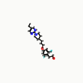 CCc1cnc(N2CCC(CCCOc3cc(F)c(CC=O)c(F)c3)CC2)nc1